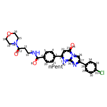 CCCCCn1c(-c2ccc(C(=O)NCCC(=O)N3CCOCC3)cc2)cc(=O)n2cc(-c3ccc(Cl)cc3)nc12